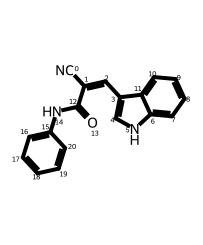 N#CC(=Cc1c[nH]c2ccccc12)C(=O)Nc1ccccc1